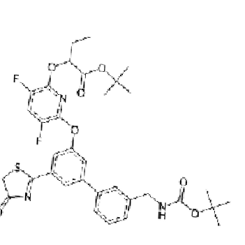 CCC(Oc1nc(Oc2cc(C3=NC(=O)CS3)cc(-c3cccc(CNC(=O)OC(C)(C)C)c3)c2)c(F)cc1F)C(=O)OC(C)(C)C